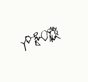 C=C(C)c1ccc(C(=O)N(C2CC2)C2CCC(CN)(c3ccc(C)cn3)CC2)cc1